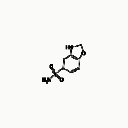 NS(=O)(=O)c1ccc2c(c1)NCO2